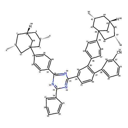 C[C@@H]1C[C@@H]2C[C@H](C)CC(c3ccc(-c4nc(-c5ccccc5)nc(-c5ccc(-c6cccc(C#N)c6)c(-c6ccc(C78C[C@H](C)C[C@H](C[C@H](C)C7)C8)cc6)c5)n4)cc3)(C1)C2